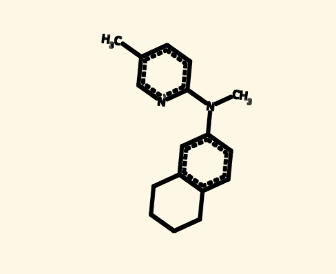 Cc1ccc(N(C)c2ccc3c(c2)CCCC3)nc1